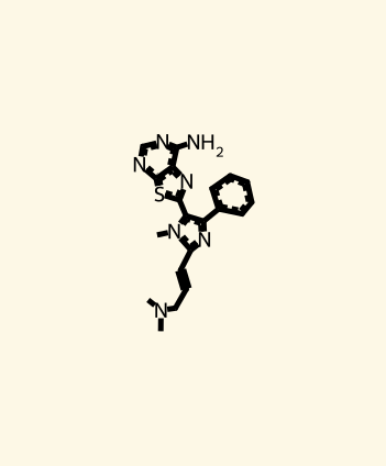 CN(C)CC#Cc1nc(-c2ccccc2)c(-c2nc3c(N)ncnc3s2)n1C